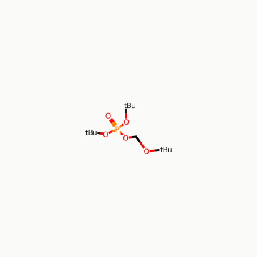 CC(C)(C)OCOP(=O)(OC(C)(C)C)OC(C)(C)C